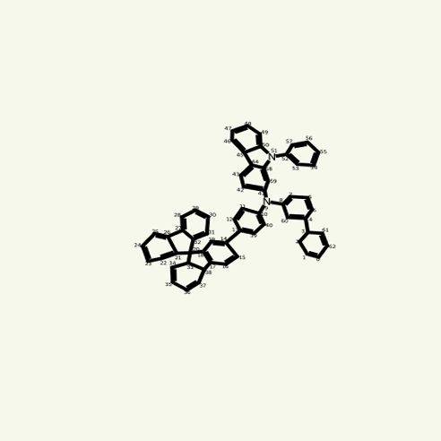 C1=CCC(c2cccc(N(c3ccc(-c4ccc5c(c4)C4(c6ccccc6-c6ccccc64)C4C=CC=CC54)cc3)c3ccc4c5ccccc5n(-c5ccccc5)c4c3)c2)C=C1